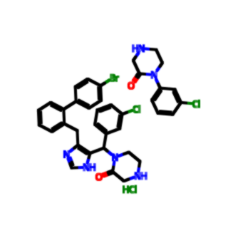 Cl.O=C1CNCCN1C(c1cccc(Cl)c1)c1[nH]cnc1Cc1ccccc1-c1ccc(Br)cc1.O=C1CNCCN1c1cccc(Cl)c1